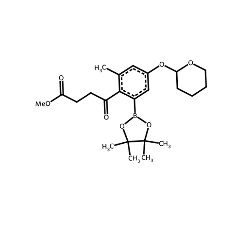 COC(=O)CCC(=O)c1c(C)cc(OC2CCCCO2)cc1B1OC(C)(C)C(C)(C)O1